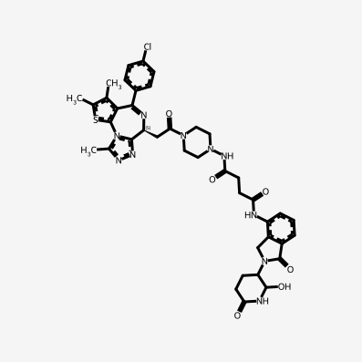 Cc1sc2c(c1C)C(c1ccc(Cl)cc1)=N[C@@H](CC(=O)N1CCN(NC(=O)CCC(=O)Nc3cccc4c3CN(C3CCC(=O)NC3O)C4=O)CC1)c1nnc(C)n1-2